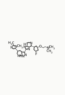 Cc1ncc(-c2cnc3[nH]nc(-c4nc5c(-c6cc(F)cc(OCCN(C)C)c6)nccc5[nH]4)c3c2)n1C